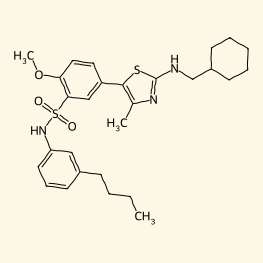 CCCCc1cccc(NS(=O)(=O)c2cc(-c3sc(NCC4CCCCC4)nc3C)ccc2OC)c1